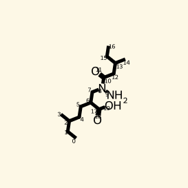 CCC(C)CCC(CN(N)C(=O)CC(C)CC)C(=O)O